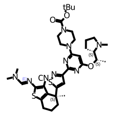 C[C@H](Oc1cc(N2CCN(C(=O)OC(C)(C)C)CC2)nc(-c2cc([C@@]3(C)CCCc4sc(/N=C/N(C)C)c(C#N)c43)sn2)n1)[C@@H]1CCCN1C